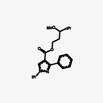 CCCC(CCOC(=O)c1cn(C(C)C)nc1-c1ccccc1)OC